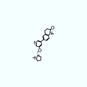 CN1C(=O)CCc2cc(-c3cncc(OC[C@@H]4CCCN4C)c3)ccc21